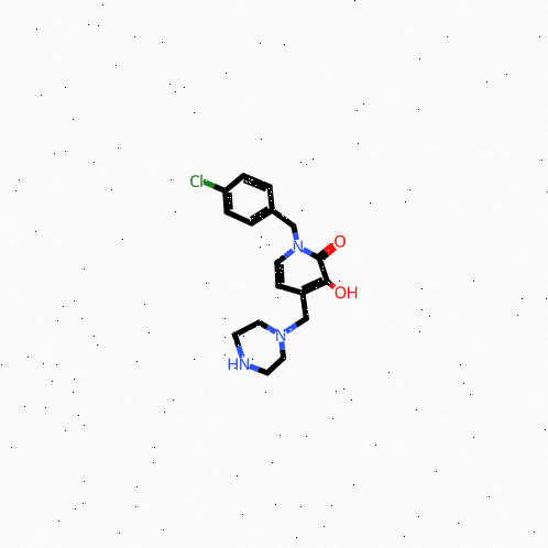 O=c1c(O)c(CN2CCNCC2)ccn1Cc1ccc(Cl)cc1